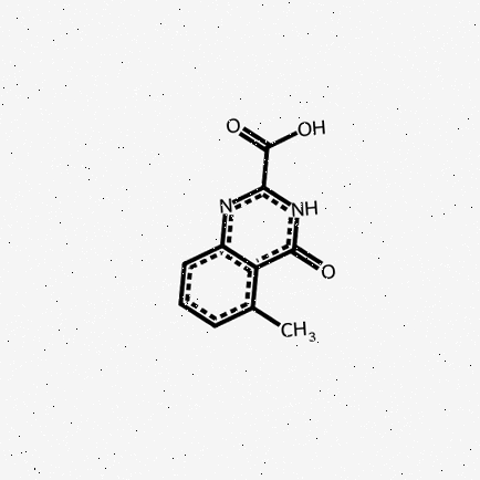 Cc1cccc2nc(C(=O)O)[nH]c(=O)c12